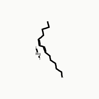 [CH2]CCCCC/C=C/C=C\CCCC.[I][Mg][I]